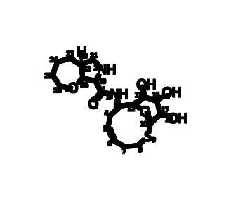 O=C(NC1C/C=C\CCSC2OC1C(O)C(O)C2O)C1NC[C@@H]2CCCCOC12